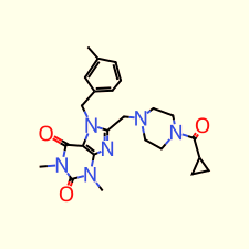 Cc1cccc(Cn2c(CN3CCN(C(=O)C4CC4)CC3)nc3c2c(=O)n(C)c(=O)n3C)c1